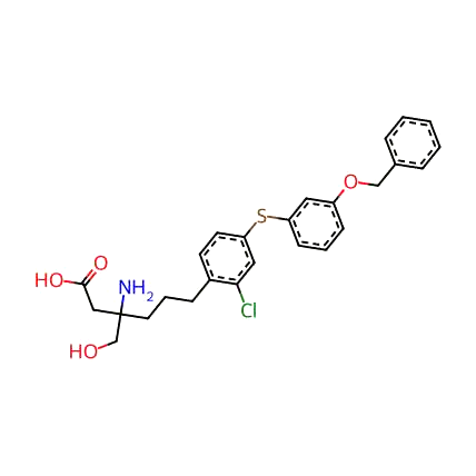 NC(CO)(CCCc1ccc(Sc2cccc(OCc3ccccc3)c2)cc1Cl)CC(=O)O